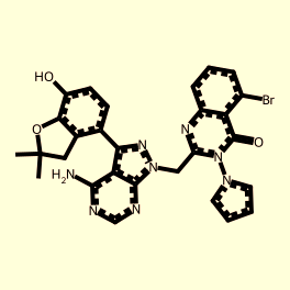 CC1(C)Cc2c(-c3nn(Cc4nc5cccc(Br)c5c(=O)n4-n4cccc4)c4ncnc(N)c34)ccc(O)c2O1